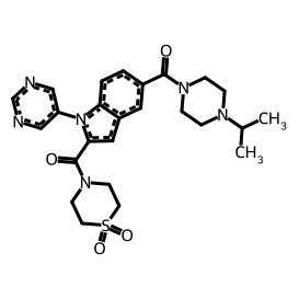 CC(C)N1CCN(C(=O)c2ccc3c(c2)cc(C(=O)N2CCS(=O)(=O)CC2)n3-c2cncnc2)CC1